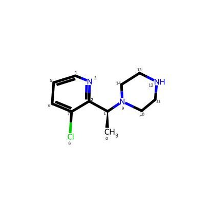 C[C@@H](c1ncccc1Cl)N1CCNCC1